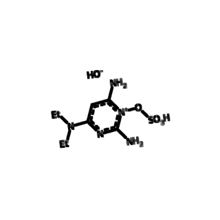 CCN(CC)c1cc(N)[n+](OS(=O)(=O)O)c(N)n1.[OH-]